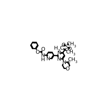 C[C@H]1COCCN1c1cc(C(C)(C)S(C)(=O)=O)nc(-c2ccc(NC(=O)Oc3ccccc3)nc2)n1